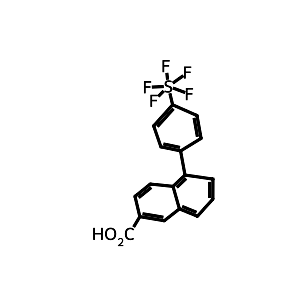 O=C(O)c1ccc2c(-c3ccc(S(F)(F)(F)(F)F)cc3)cccc2c1